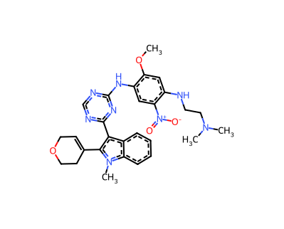 COc1cc(NCCN(C)C)c([N+](=O)[O-])cc1Nc1ncnc(-c2c(C3=CCOCC3)n(C)c3ccccc23)n1